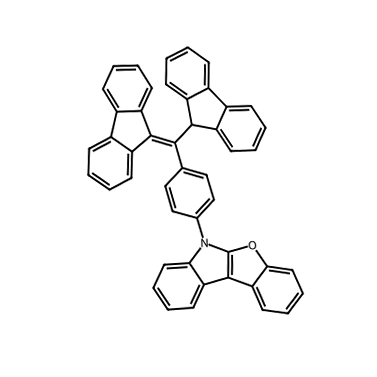 c1ccc2c(c1)C(=C(c1ccc(-n3c4ccccc4c4c5ccccc5oc43)cc1)C1c3ccccc3-c3ccccc31)c1ccccc1-2